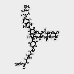 CN1CCN(c2ccc3[nH]c(-c4ccc5nc(-c6ccc(OCCCNCCC(=O)OC(C)(C)C)cc6)[nH]c5c4)nc3c2)CC1.O=C(O)C(F)(F)F.O=C(O)C(F)(F)F.O=C(O)C(F)(F)F